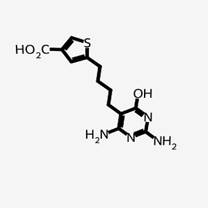 Nc1nc(N)c(CCCCc2cc(C(=O)O)cs2)c(O)n1